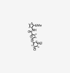 CSc1sccc1NC(=O)c1ccc(Oc2cc(Cl)cc(Cl)c2)o1